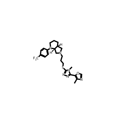 Cc1ncoc1-c1nnc(SCCCN2C[C@H]3CCCN(c4ccc(C(F)(F)F)cc4)[C@H]3C2)n1C